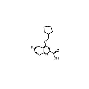 O=C(O)c1cc(OCC2CCCCC2)c2cc(F)ccc2n1